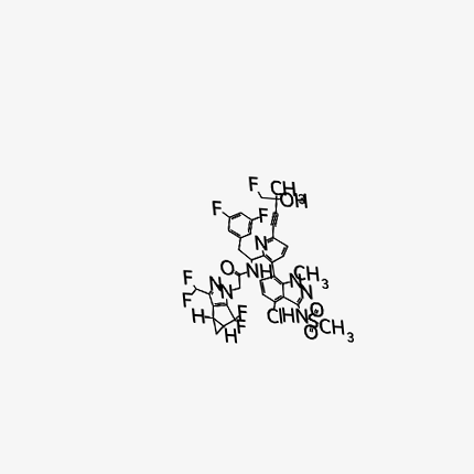 Cn1nc(NS(C)(=O)=O)c2c(Cl)ccc(-c3ccc(C#CC(C)(O)CF)nc3C(Cc3cc(F)cc(F)c3)NC(=O)Cn3nc(C(F)F)c4c3C(F)(F)[C@@H]3C[C@H]43)c21